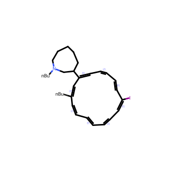 CCCCC1=C/C(C2CCCCCN(CCCC)C2)=C\C=C/C=C/C(I)=C\C=C/C=C/C=C\1